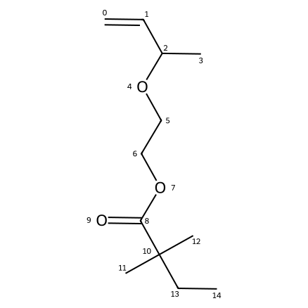 C=CC(C)OCCOC(=O)C(C)(C)CC